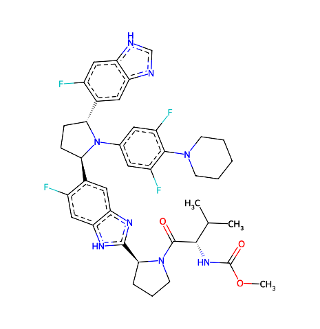 COC(=O)N[C@H](C(=O)N1CCC[C@H]1c1nc2cc([C@H]3CC[C@H](c4cc5nc[nH]c5cc4F)N3c3cc(F)c(N4CCCCC4)c(F)c3)c(F)cc2[nH]1)C(C)C